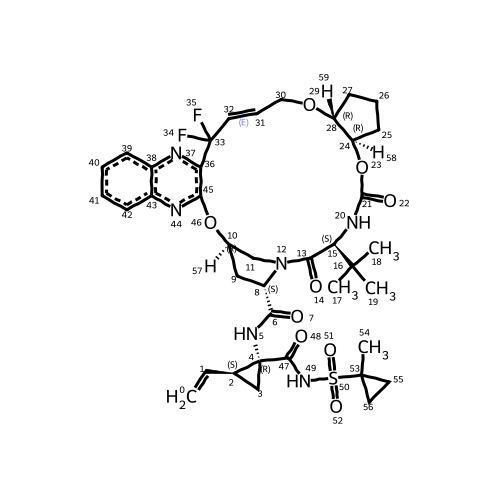 C=C[C@@H]1C[C@]1(NC(=O)[C@@H]1C[C@@H]2CN1C(=O)[C@H](C(C)(C)C)NC(=O)O[C@@H]1CCC[C@H]1OC/C=C/C(F)(F)c1nc3ccccc3nc1O2)C(=O)NS(=O)(=O)C1(C)CC1